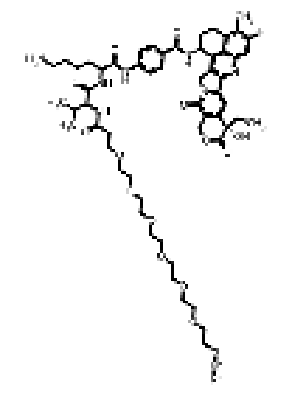 CC[C@@]1(O)C(=O)OCc2c1cc1n(c2=O)Cc2c-1nc1cc(F)c(C)c3c1c2[C@@H](NC(=O)c1ccc(NC(=O)C(CCCCN)NC(=O)C(NC(=O)CCOCCOCCOCCOCCOCCOCCN=[N+]=[N-])C(C)C)cc1)CC3